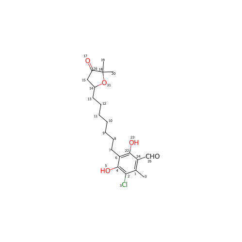 Cc1c(Cl)c(O)c(CCCCCCCC2CC(=O)C(C)(C)O2)c(O)c1C=O